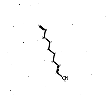 C=CCCCCCC=CC#N